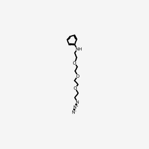 [N-]=[N+]=NCCOCCOCCOCCNc1ccccc1